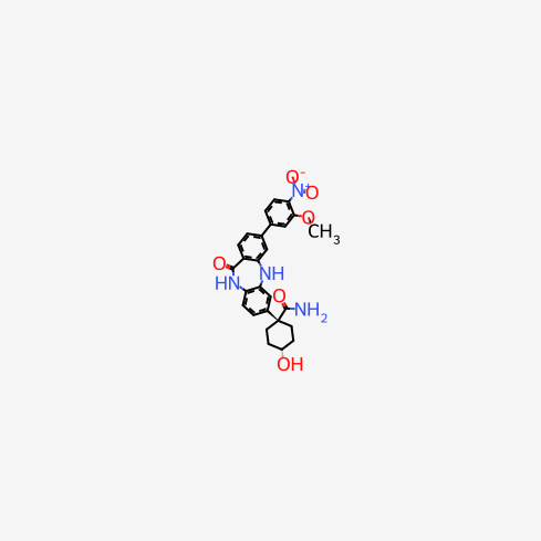 COc1cc(-c2ccc3c(c2)Nc2cc([C@]4(C(N)=O)CC[C@@H](O)CC4)ccc2NC3=O)ccc1[N+](=O)[O-]